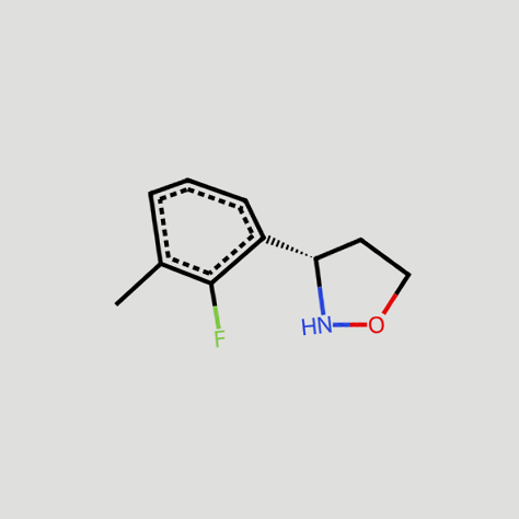 Cc1cccc([C@@H]2CCON2)c1F